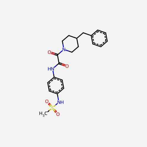 CS(=O)(=O)Nc1ccc(NC(=O)C(=O)N2CCC(Cc3ccccc3)CC2)cc1